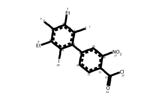 CCc1c(I)c(CC)c(I)c(-c2ccc(C(=O)Cl)c([N+](=O)[O-])c2)c1I